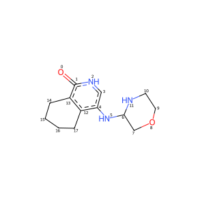 O=c1[nH]cc(NC2COCCN2)c2c1CCCC2